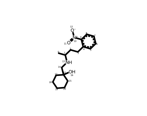 CC(CCc1ccccc1[N+](=O)[O-])NCC1(O)CCCCC1